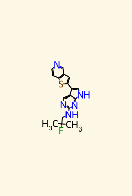 CC(C)(F)CNc1ncc2c(-c3cc4cnccc4s3)c[nH]c2n1